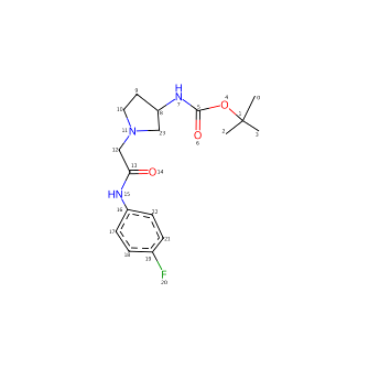 CC(C)(C)OC(=O)NC1CCN(CC(=O)Nc2ccc(F)cc2)C1